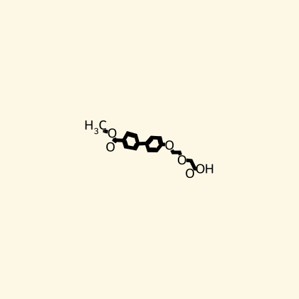 CCOC(=O)c1ccc(-c2ccc(OCCOCC(=O)O)cc2)cc1